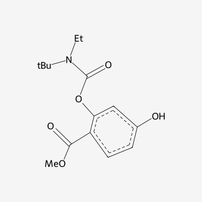 CCN(C(=O)Oc1cc(O)ccc1C(=O)OC)C(C)(C)C